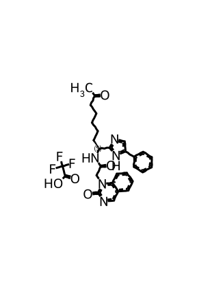 CC(=O)CCCCC[C@H](NC(=O)Cn1c(=O)ncc2ccccc21)c1ncc(-c2ccccc2)[nH]1.O=C(O)C(F)(F)F